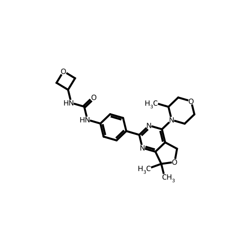 CC1COCCN1c1nc(-c2ccc(NC(=O)NC3COC3)cc2)nc2c1COC2(C)C